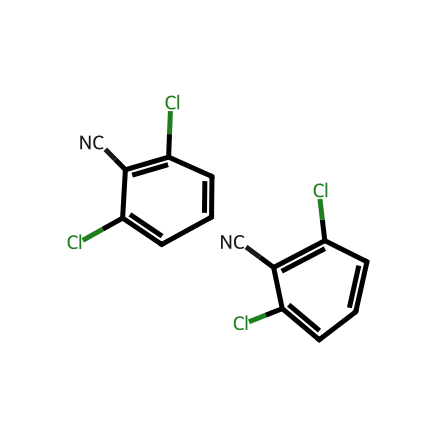 N#Cc1c(Cl)cccc1Cl.N#Cc1c(Cl)cccc1Cl